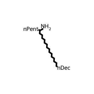 CCCCCCCCCCCCCCCCCCCCCCCCCC(CN)CCCCC